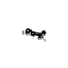 CCOC(=O)C1(CC)CCCN(Cc2cccc(OCc3nc(-c4cccs4)oc3C)c2)C1